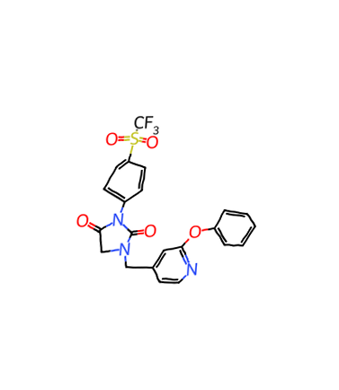 O=C1CN(Cc2ccnc(Oc3ccccc3)c2)C(=O)N1c1ccc(S(=O)(=O)C(F)(F)F)cc1